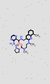 CCCN1CCC[C@H]1C(=O)N(C)CCN(C)c1nc2c(C)cccc2cc1CNC(=O)c1nccnc1N